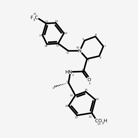 C[C@H](NC(=O)C1CCCCN1Cc1ccc(C(F)(F)F)cc1)c1ccc(C(=O)O)cc1